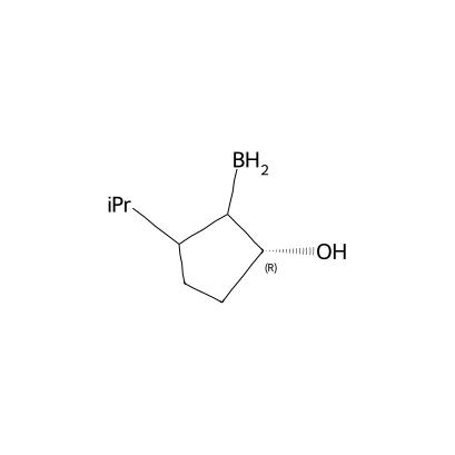 BC1C(C(C)C)CC[C@H]1O